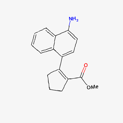 COC(=O)C1=C(c2ccc(N)c3ccccc23)CCC1